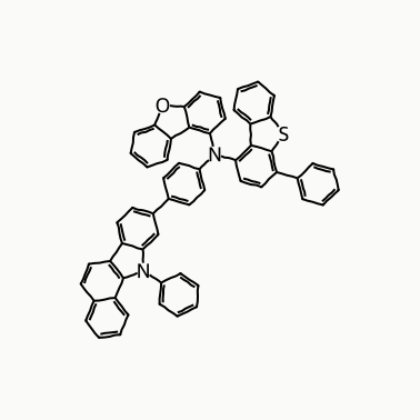 c1ccc(-c2ccc(N(c3ccc(-c4ccc5c6ccc7ccccc7c6n(-c6ccccc6)c5c4)cc3)c3cccc4oc5ccccc5c34)c3c2sc2ccccc23)cc1